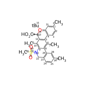 Cc1ccc(-c2c(C)c3c(c(C)c2[C@H](OC(C)(C)C)C(=O)O)N(S(C)(=O)=O)Cc2ccc(C)cc2-3)cc1